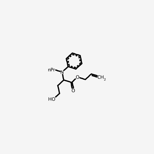 C=CCOC(=O)C(CCO)N(CCC)c1ccccc1